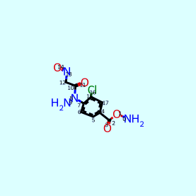 NOC(=O)c1ccc(N(N)C(=O)CN=O)c(Cl)c1